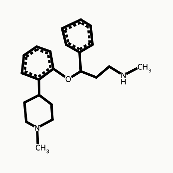 CNCCC(Oc1ccccc1C1CCN(C)CC1)c1ccccc1